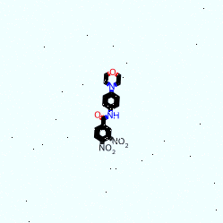 O=C(Nc1ccc(N2CCOCC2)cc1)c1ccc([N+](=O)[O-])c([N+](=O)[O-])c1